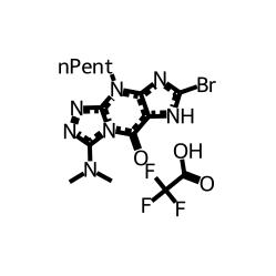 CCCCCn1c2nc(Br)[nH]c2c(=O)n2c(N(C)C)nnc12.O=C(O)C(F)(F)F